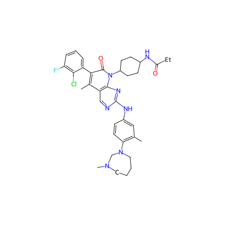 CCC(=O)NC1CCC(n2c(=O)c(-c3cccc(F)c3Cl)c(C)c3cnc(Nc4ccc(N5CCCCN(C)C5)c(C)c4)nc32)CC1